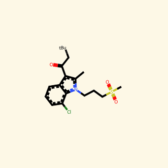 Cc1c(C(=O)CC(C)(C)C)c2cccc(Cl)c2n1CCCS(C)(=O)=O